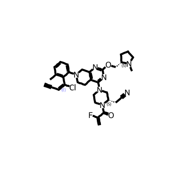 C#C/C=C(/Cl)c1c(C)cccc1N1CCc2c(nc(OC[C@@H]3CCCN3C)nc2N2CCN(C(=O)C(=C)F)[C@@H](CC#N)C2)C1